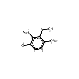 COc1ncc(Cl)c(SC)c1CO